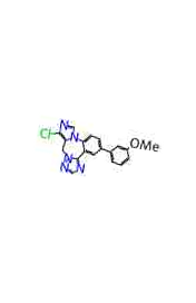 COc1cccc(-c2ccc3c(c2)-c2ncnn2Cc2c(Cl)ncn2-3)c1